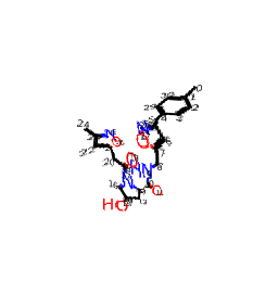 Cc1ccc(-c2cc(CNC(=O)[C@@H]3C[C@@H](O)CN3C(=O)Cc3cc(C)no3)on2)cc1